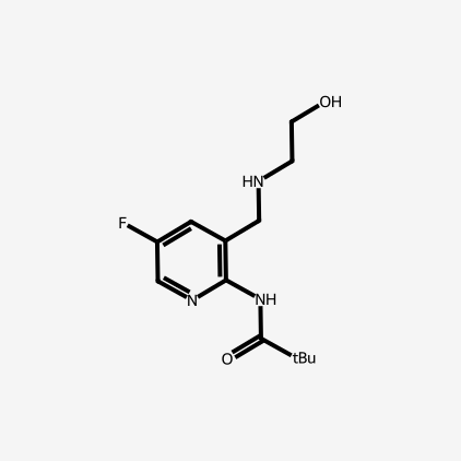 CC(C)(C)C(=O)Nc1ncc(F)cc1CNCCO